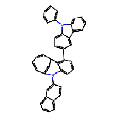 C1=CC2=CC(C=C1)c1c(-c3ccc4c(c3)c3ccccc3n4-c3ccccc3)cccc1N2c1ccc2ccccc2c1